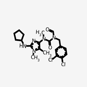 Cc1c(N(C)C(=O)N(C=O)Cc2ccc(Cl)c(Cl)c2)nc(NC2CCCC2)n1C